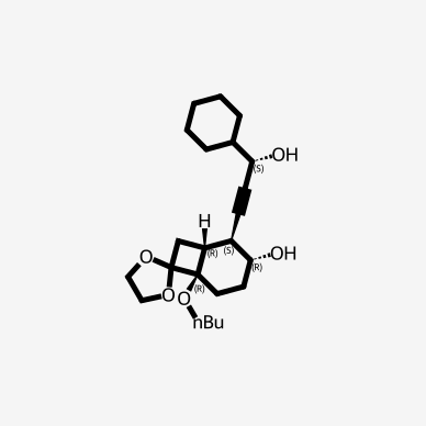 CCCCO[C@]12CC[C@@H](O)[C@H](C#C[C@@H](O)C3CCCCC3)[C@H]1CC21OCCO1